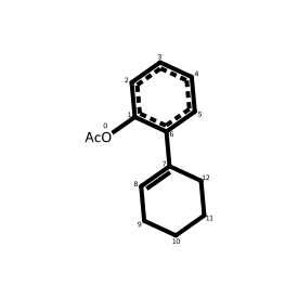 CC(=O)Oc1ccccc1C1=CCCCC1